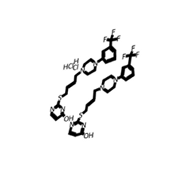 Cl.Cl.Oc1ccnc(SC/C=C/CN2CCN(c3cccc(C(F)(F)F)c3)CC2)n1.Oc1ccnc(SC/C=C/CN2CCN(c3cccc(C(F)(F)F)c3)CC2)n1